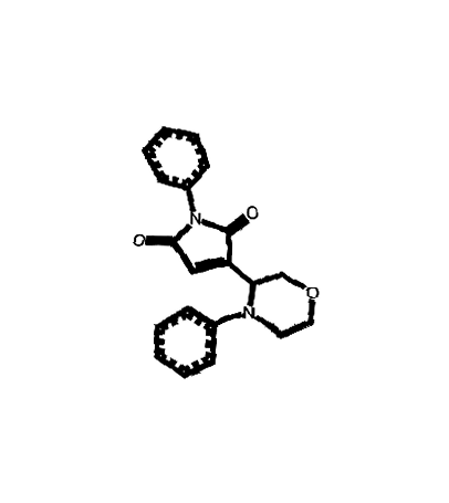 O=C1C=C(C2COCCN2c2ccccc2)C(=O)N1c1ccccc1